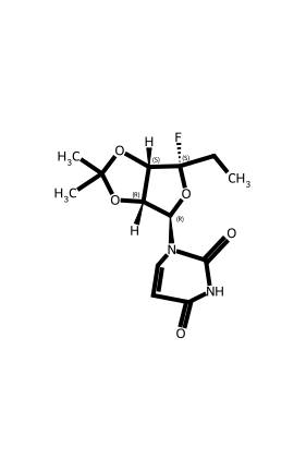 CC[C@@]1(F)O[C@@H](n2ccc(=O)[nH]c2=O)[C@@H]2OC(C)(C)O[C@@H]21